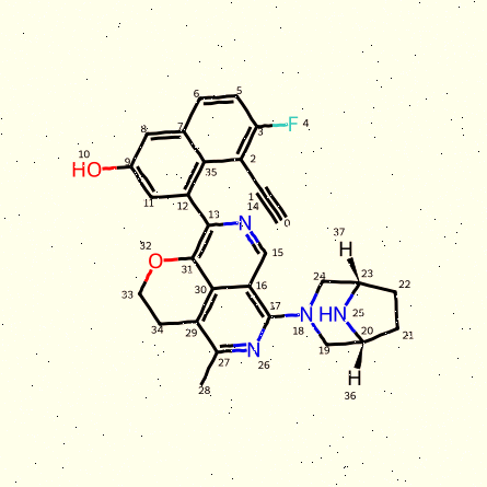 C#Cc1c(F)ccc2cc(O)cc(-c3ncc4c(N5C[C@H]6CC[C@@H](C5)N6)nc(C)c5c4c3OCC5)c12